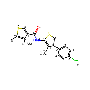 COc1c(C(=O)Nc2scc(-c3ccc(Cl)cc3)c2C(=O)O)csc1C